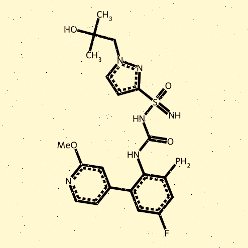 COc1cc(-c2cc(F)cc(P)c2NC(=O)NS(=N)(=O)c2ccn(CC(C)(C)O)n2)ccn1